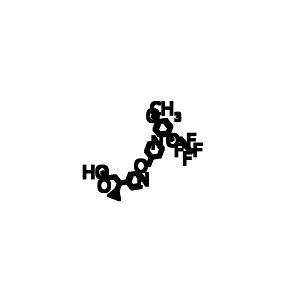 COc1ccc(OCC(F)(F)C(F)F)c(N2CCC(COc3cc(C(CC(=O)O)C4CC4)ccn3)CC2)c1